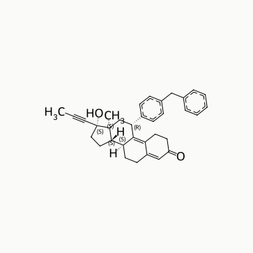 CC#C[C@]1(O)CC[C@H]2[C@@H]3CCC4=CC(=O)CCC4=C3[C@@H](c3ccc(Cc4ccccc4)cc3)C[C@@]21C